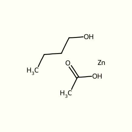 CC(=O)O.CCCCO.[Zn]